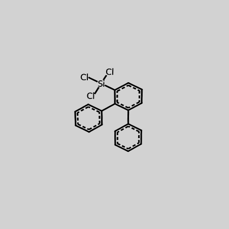 Cl[Si](Cl)(Cl)c1cccc(-c2ccccc2)c1-c1ccccc1